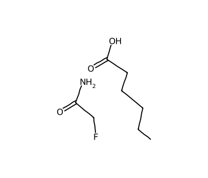 CCCCCC(=O)O.NC(=O)CF